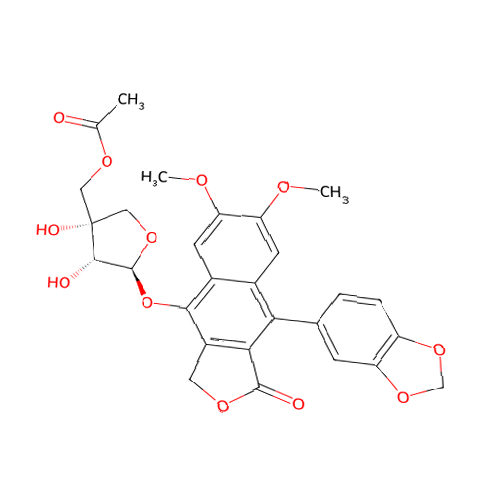 COc1cc2c(O[C@@H]3OC[C@](O)(COC(C)=O)[C@H]3O)c3c(c(-c4ccc5c(c4)OCO5)c2cc1OC)C(=O)OC3